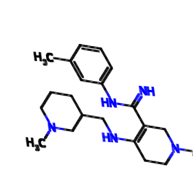 CC(=O)N1CCC(NCC2CCCN(C)C2)=C(C(=N)Nc2cccc(C)c2)C1